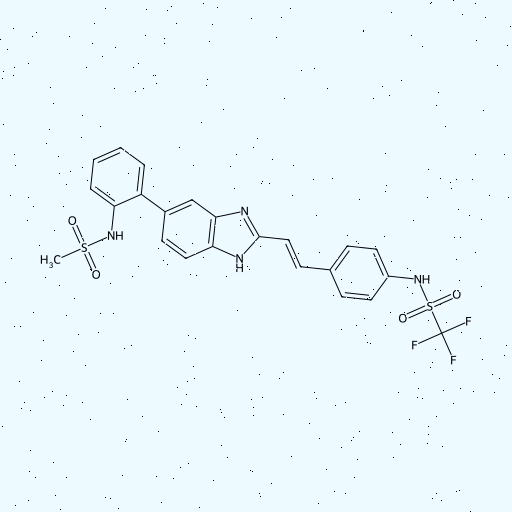 CS(=O)(=O)Nc1ccccc1-c1ccc2[nH]c(/C=C/c3ccc(NS(=O)(=O)C(F)(F)F)cc3)nc2c1